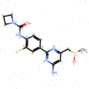 C[S+]([O-])Cc1cc(N)nc(-c2ccc(NC(=O)N3CCC3)c(F)c2)n1